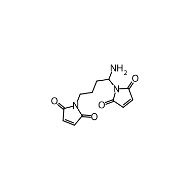 NC(CCCN1C(=O)C=CC1=O)N1C(=O)C=CC1=O